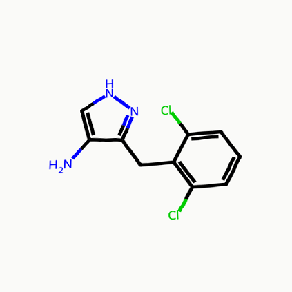 Nc1c[nH]nc1Cc1c(Cl)cccc1Cl